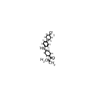 CN(C)C(=O)C1CCC(Nc2ccc(N3CCC(C(F)(F)F)CC3)cc2)CC1